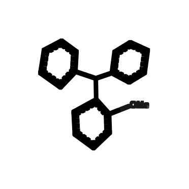 [CH2]Oc1ccccc1C(c1ccccc1)c1ccccc1